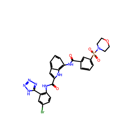 O=C(Nc1cccc2cc(C(=O)Nc3ccc(Br)cc3-c3nnn[nH]3)[nH]c12)c1cccc(S(=O)(=O)N2CCOCC2)c1